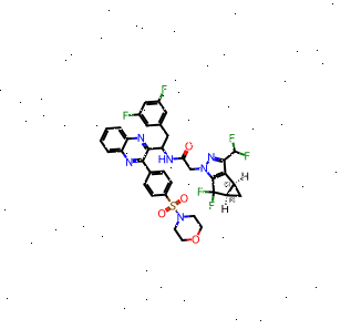 O=C(Cn1nc(C(F)F)c2c1C(F)(F)[C@@H]1C[C@H]21)NC(Cc1cc(F)cc(F)c1)c1nc2ccccc2nc1-c1ccc(S(=O)(=O)N2CCOCC2)cc1